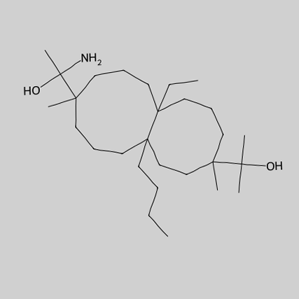 CCCCC12CCCC(C)(C(C)(N)O)CCCC1(CC)CCCC(C)(C(C)(C)O)CC2